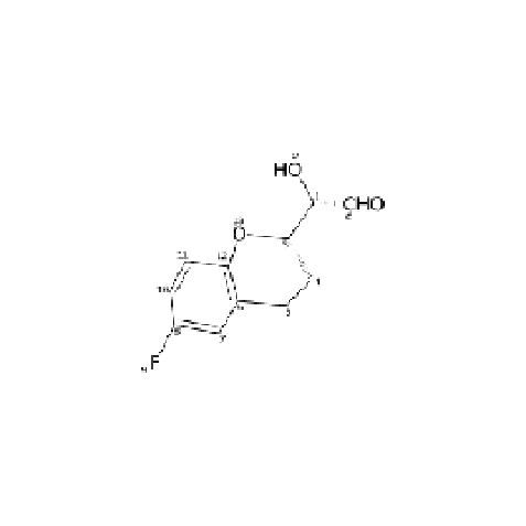 O=C[C@@H](O)[C@@H]1CCc2cc(F)ccc2O1